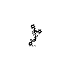 CC(CCC(=O)NCC(=O)C(CCc1ccccc1)OCc1ccccc1)CNC(=O)c1cccc(C#N)c1